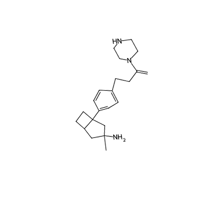 C=C(CCc1ccc(C23CCC2CC(C)(N)C3)cc1)N1CCNCC1